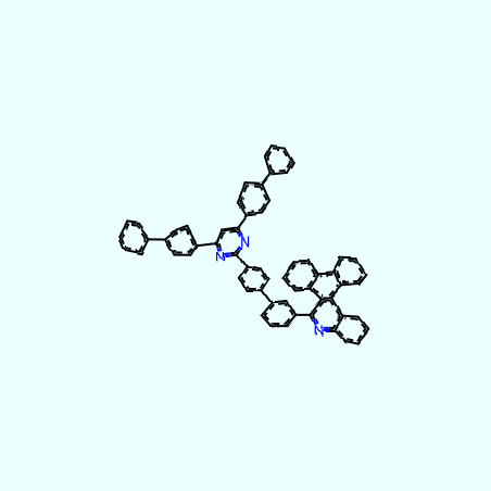 c1ccc(-c2ccc(-c3cc(-c4ccc(-c5ccccc5)cc4)nc(-c4ccc(-c5cccc(-c6nc7ccccc7c7c8ccccc8c8ccccc8c67)c5)cc4)n3)cc2)cc1